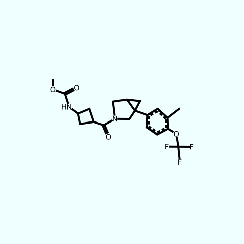 COC(=O)NC1CC(C(=O)N2CC3CC3(c3ccc(OC(F)(F)F)c(C)c3)C2)C1